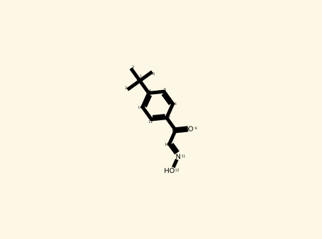 CC(C)(C)c1ccc(C(=O)C=NO)cc1